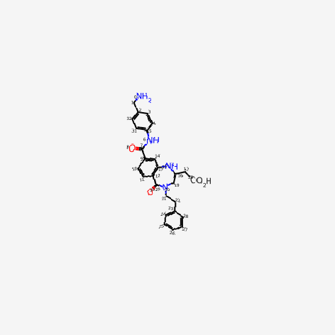 NCc1ccc(NC(=O)c2ccc3c(c2)NC(CC(=O)O)CN(CCc2ccccc2)C3=O)cc1